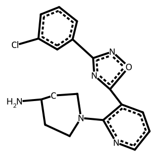 NC1CCN(c2ncccc2-c2nc(-c3cccc(Cl)c3)no2)CC1